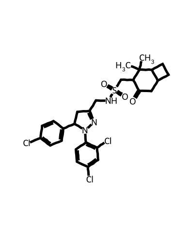 CC1(C)C(CS(=O)(=O)NCC2=NN(c3ccc(Cl)cc3Cl)C(c3ccc(Cl)cc3)C2)C(=O)CC2CCC21